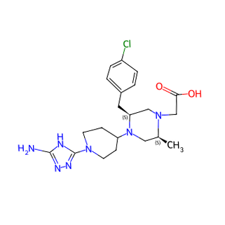 C[C@H]1CN(C2CCN(c3nnc(N)[nH]3)CC2)[C@@H](Cc2ccc(Cl)cc2)CN1CC(=O)O